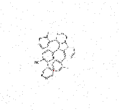 Cc1ccccc1-c1cccc2c3cccc(-c4ccccc4C)c3n(-c3ccc(C#N)c(-c4ccncc4)c3)c12